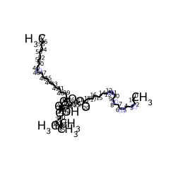 CC/C=C\C/C=C\C/C=C\C/C=C\CCCCCCC(=O)OC[C@H](COP(=O)(O)OCC[N+](C)(C)C)OC(=O)CCCCCCCCC/C=C\CCCCCCCC